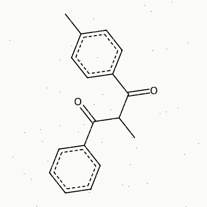 Cc1ccc(C(=O)C(C)C(=O)c2ccccc2)cc1